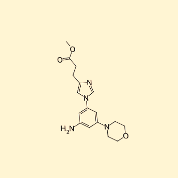 COC(=O)CCc1cn(-c2cc(N)cc(N3CCOCC3)c2)cn1